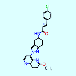 COc1ccc2nccc(-n3cc4c(n3)CCC(NC(=O)/C=C/c3ccc(Cl)cc3)C4)c2n1